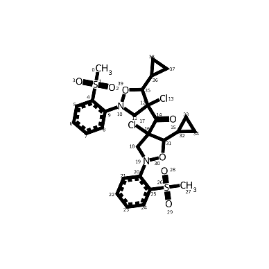 CS(=O)(=O)c1ccccc1N1CC(Cl)(C(=O)C2(Cl)CN(c3ccccc3S(C)(=O)=O)OC2C2CC2)C(C2CC2)O1